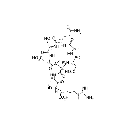 CC(C)C[C@H](NC(=O)[C@@H]1CCCN1C(=O)[C@H](CC(=O)O)NC(=O)[C@H](CO)NC(=O)[C@H](CCC(N)=O)NC(=O)[C@H](C)NC(=O)[C@@H](N)CC(=O)O)C(=O)N[C@@H](CCCNC(=N)N)C(=O)O